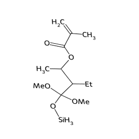 C=C(C)C(=O)OC(C)C(CC)C(OC)(OC)O[SiH3]